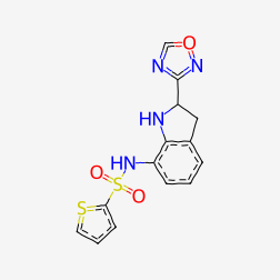 O=S(=O)(Nc1cccc2c1NC(c1ncon1)C2)c1cccs1